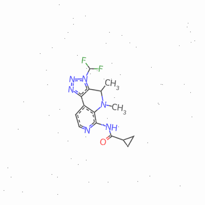 CC1c2c(nnn2C(F)F)-c2ccnc(NC(=O)C3CC3)c2N1C